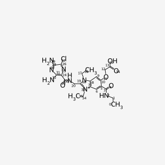 CCNC(=O)c1cc2c(cc1OCC(=O)O)n(CC)c(CNC(=O)c1nc(Cl)c(N)nc1N)[n+]2CC